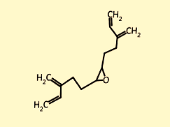 C=CC(=C)CCC1OC1CCC(=C)C=C